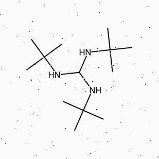 CC(C)(C)NC(NC(C)(C)C)NC(C)(C)C